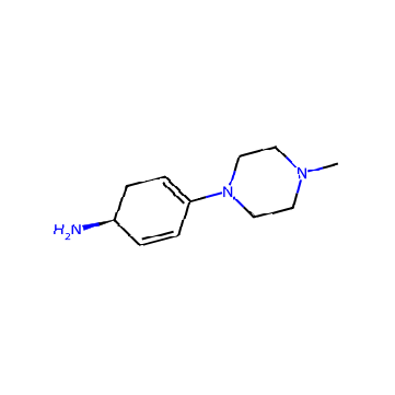 CN1CCN(C2=CC[C@H](N)C=C2)CC1